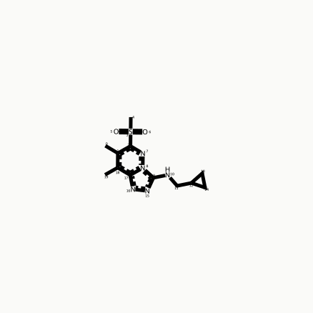 Cc1c(S(C)(=O)=O)nn2c(NCC3CC3)nnc2c1C